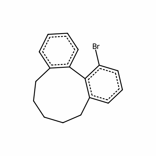 Brc1cccc2c1-c1ccccc1CCCCC2